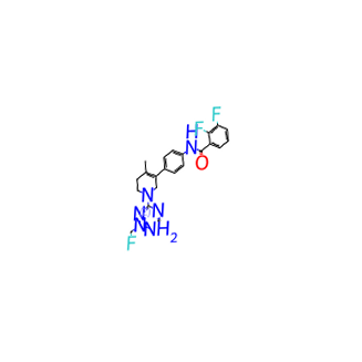 C=N/C(=N\N(N)CF)N1CCC(C)=C(c2ccc(NC(=O)c3cccc(F)c3F)cc2)C1